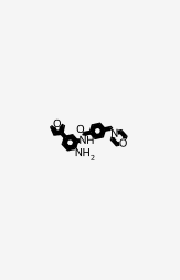 Nc1ccc(-c2ccoc2)cc1NC(=O)c1ccc(CN2CCOCC2)cc1